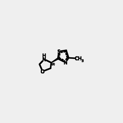 Cc1csc([C@H]2COCN2)n1